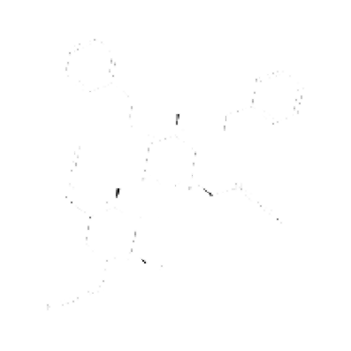 CC(=O)O[C@H]1C(N=[N+]=[N-])CC(N=[N+]=[N-])[C@@H](O[C@H]2O[C@H](CN=[N+]=[N-])[C@@H](OCc3ccccc3)[C@H](F)[C@H]2OCc2ccccc2)[C@@H]1O